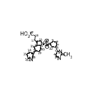 Cc1nccc(-c2cccc(S(=O)(=O)n3cc(CCC(=O)O)c4cc(-c5cccnc5)ccc43)c2)n1